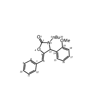 CCCCN1C(=O)O/C(=C\c2ccccc2)C1c1ccccc1OC